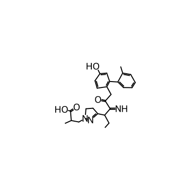 CCC(C(=N)C(=O)Cc1ccc(O)cc1-c1ccccc1C)C1=NN(CC(C)C(=O)O)CC1